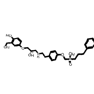 O=P(O)(CCCc1ccccc1)COc1ccc(CCNC[C@H](O)COc2ccc(O)c(CO)c2)cc1